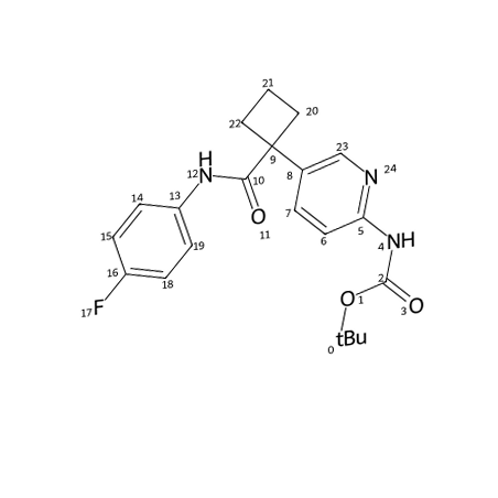 CC(C)(C)OC(=O)Nc1ccc(C2(C(=O)Nc3ccc(F)cc3)CCC2)cn1